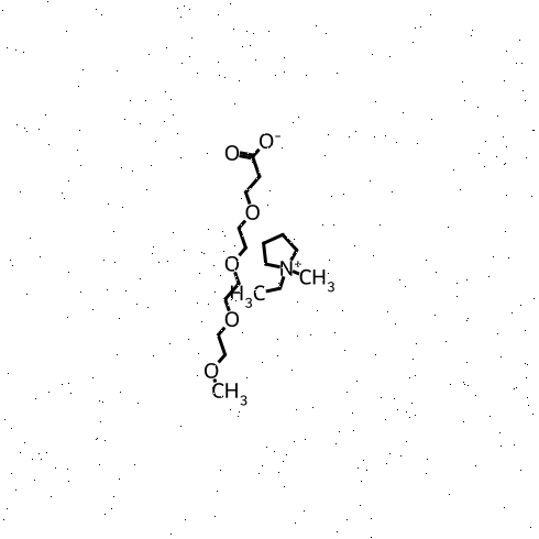 CC[N+]1(C)CCCC1.COCCOCCOCCOCCC(=O)[O-]